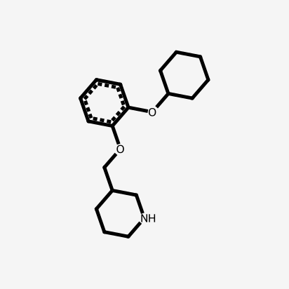 c1ccc(OC2CCCCC2)c(OCC2CCCNC2)c1